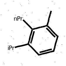 CCCc1c(C)cccc1C(C)C